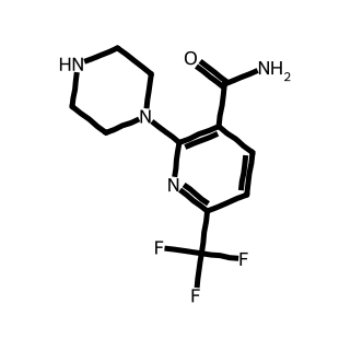 NC(=O)c1ccc(C(F)(F)F)nc1N1CCNCC1